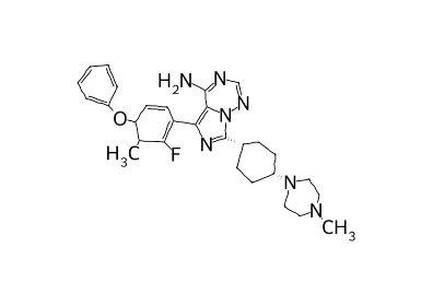 CC1C(F)=C(c2nc([C@H]3CC[C@@H](N4CCN(C)CC4)CC3)n3ncnc(N)c23)C=CC1Oc1ccccc1